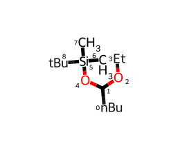 CCCCC(OCC)O[Si](C)(C)C(C)(C)C